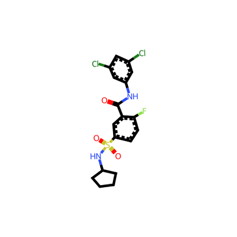 O=C(Nc1cc(Cl)cc(Cl)c1)c1cc(S(=O)(=O)NC2CCCC2)ccc1F